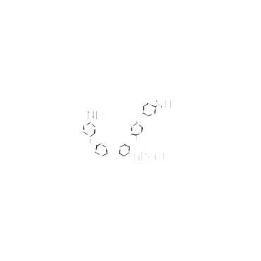 CCCCCc1cc(Cc2ccc(Cc3ccc(N)cc3)cc2)ccc1Cc1ccc(Cc2ccc(N)cc2)cc1